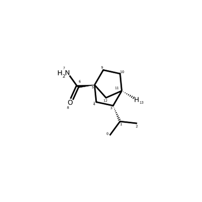 CC(C)[C@@H]1[CH][C@]2(C(N)=O)CC[C@@H]1C2